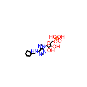 O=P(O)(O)OCC1OC(n2cnc3c(NCc4ccccc4)ncnc32)C(O)C1O